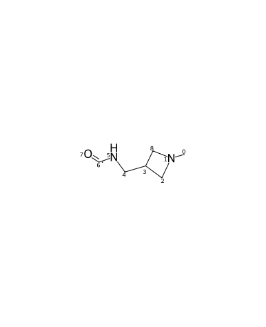 CN1CC(CN[C]=O)C1